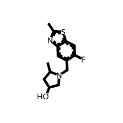 Cc1nc2cc(CN3CC(O)CC3C)c(F)cc2s1